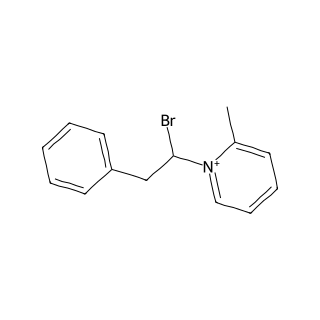 Cc1cccc[n+]1C(Br)Cc1ccccc1